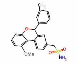 COc1cccc2c1-c1ccc(CS(N)(=O)=O)cc1C(c1cccc(C)c1)O2